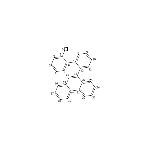 Clc1ccccc1-c1ccccc1-c1cc2ccccc2c2ccccc12